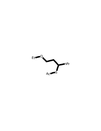 CCCC(CCOCC)SC(C)=O